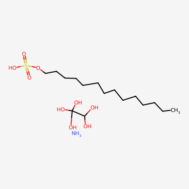 CCCCCCCCCCCCCCOS(=O)(=O)O.N.OC(O)C(O)(O)O